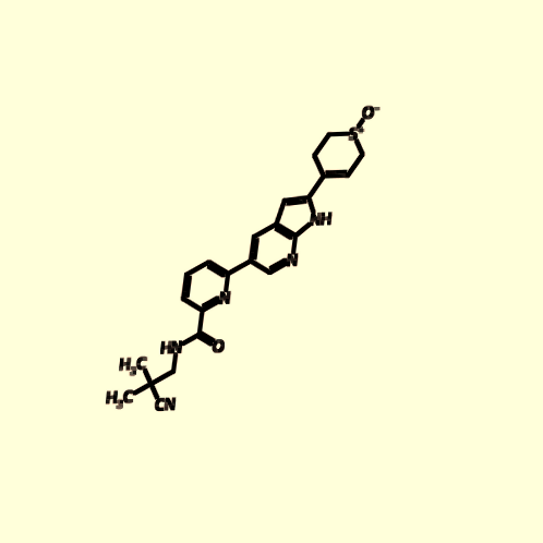 CC(C)(C#N)CNC(=O)c1cccc(-c2cnc3[nH]c(C4=CC[S+]([O-])CC4)cc3c2)n1